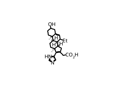 CCC1C=C2CC(O)CC[C@]2(C)[C@@H]2CC[C@]3(C)C(c4cnc[nH]4)=C(CC(=O)O)C[C@H]3[C@H]12